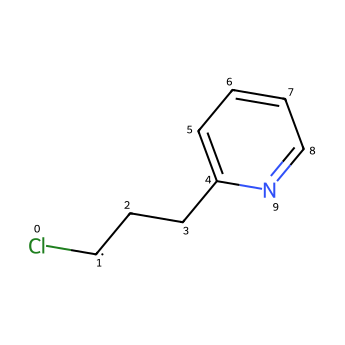 Cl[CH]CCc1ccccn1